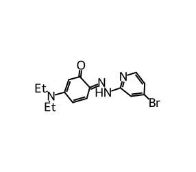 CCN(CC)C1=CC(=O)/C(=N/Nc2cc(Br)ccn2)C=C1